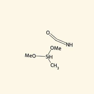 CO[SiH](C)OC.N=C=O